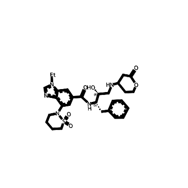 CCn1cnc2c(N3CCCCS3(=O)=O)cc(C(=O)N[C@@H](Cc3ccccc3)[C@H](O)CNC3CCOC(=O)C3)cc21